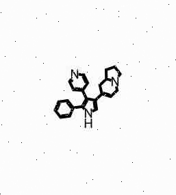 C1=C(c2c[nH]c(-c3ccccc3)c2-c2ccncc2)CC2CCCN2C1